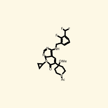 COC1(c2cc3c(NCc4cccc(C(F)F)c4F)ncnc3n(C3CC3)c2=O)CCN(C(C)=O)CC1